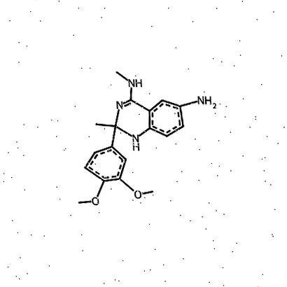 CNC1=NC(C)(c2ccc(OC)c(OC)c2)Nc2ccc(N)cc21